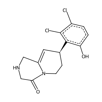 O=C1CNCC2=C[C@@H](c3c(O)ccc(Cl)c3Cl)CCN12